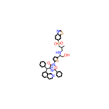 CC(CNC(CO)c1ccc(N(C)C(=O)C(NC(=O)c2ccccc2)C(c2ccccc2)c2cccc3ccncc23)s1)CS(=O)(=O)c1ccc2ncsc2c1